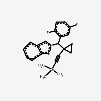 C[Si](C)(C)C#CC1(C(c2cc(F)ccc2F)n2cc3ccccc3n2)CC1